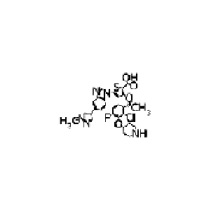 C[C@@H](Oc1cc(-n2cnc3cc(-c4cnn(C)c4)ccc32)sc1C(=O)O)c1ccc(F)c(OC2CCNCC2)c1Cl